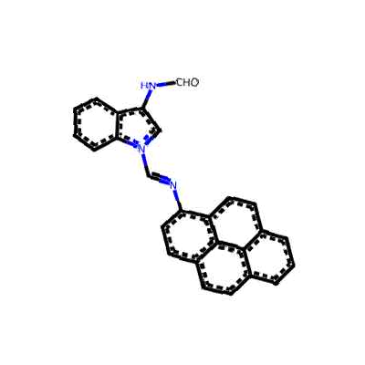 O=CNc1cn(/C=N/c2ccc3ccc4cccc5ccc2c3c45)c2ccccc12